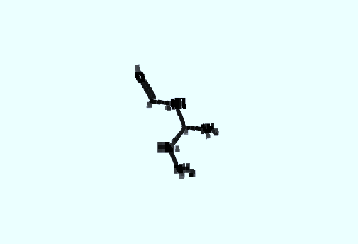 NNC(N)NC=O